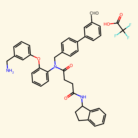 NCc1cccc(Oc2ccccc2N(Cc2ccc(-c3cccc(C=O)c3)cc2)C(=O)CCC(=O)NC2CCc3ccccc32)c1.O=C(O)C(F)(F)F